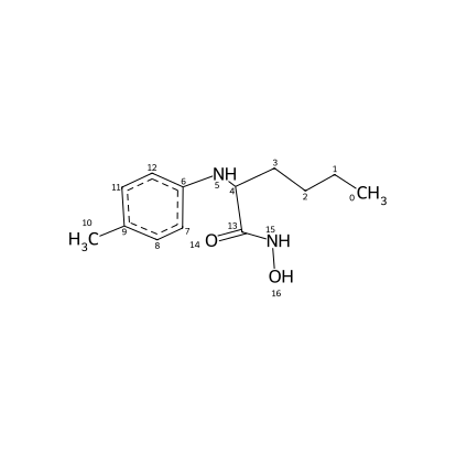 CCCCC(Nc1ccc(C)cc1)C(=O)NO